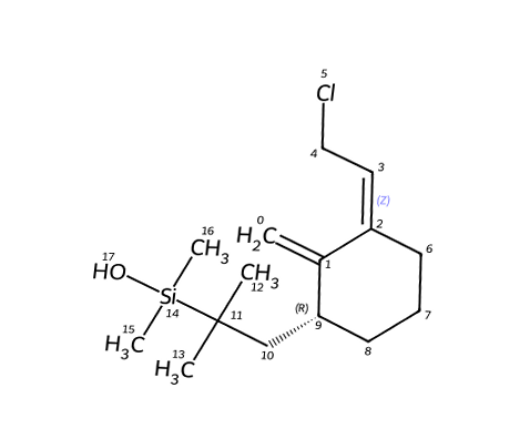 C=C1/C(=C\CCl)CCC[C@@H]1CC(C)(C)[Si](C)(C)O